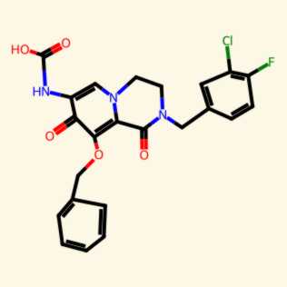 O=C(O)Nc1cn2c(c(OCc3ccccc3)c1=O)C(=O)N(Cc1ccc(F)c(Cl)c1)CC2